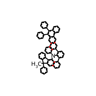 CC1(c2ccccc2)c2ccccc2-c2c(N(c3cccc(-c4ccc5c(c4)c(-c4ccccc4)c(-c4ccccc4)c4ccccc45)c3)c3c(-c4ccccc4)cccc3-c3ccccc3)cccc21